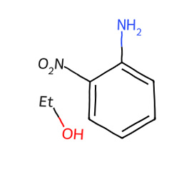 CCO.Nc1ccccc1[N+](=O)[O-]